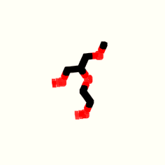 COCC(CO)OCCO